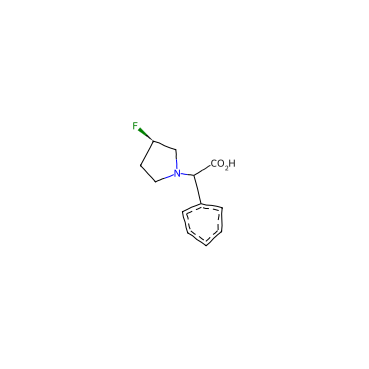 O=C(O)C(c1ccccc1)N1CC[C@@H](F)C1